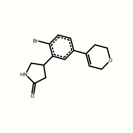 O=C1CC(c2cc(C3=CCOCC3)ccc2Br)CN1